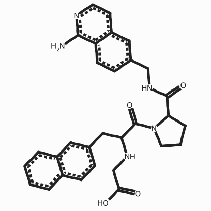 Nc1nccc2cc(CNC(=O)C3CCCN3C(=O)C(Cc3ccc4ccccc4c3)NCC(=O)O)ccc12